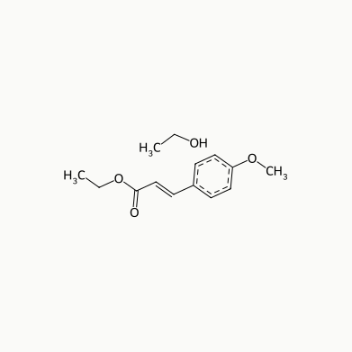 CCO.CCOC(=O)C=Cc1ccc(OC)cc1